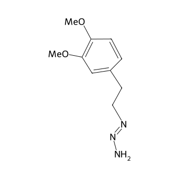 COc1ccc(CCN=NN)cc1OC